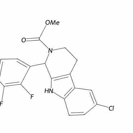 COC(=O)N1CCc2c([nH]c3ccc(Cl)cc23)C1c1cccc(F)c1F